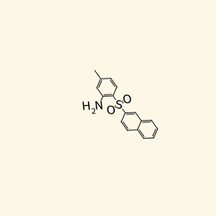 Cc1ccc(S(=O)(=O)c2ccc3ccccc3c2)c(N)c1